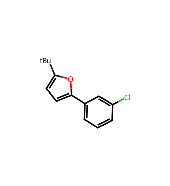 CC(C)(C)c1ccc(-c2cccc(Cl)c2)o1